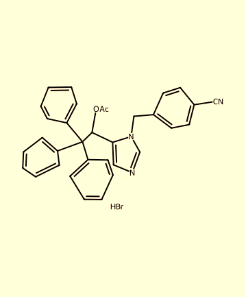 Br.CC(=O)OC(c1cncn1Cc1ccc(C#N)cc1)C(c1ccccc1)(c1ccccc1)c1ccccc1